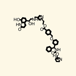 O=C(NC(c1ccccc1)c1cccc(OCc2ccc(C(=O)OCCn3cc(CNC[C@@H](O)c4ccc(O)c5[nH]c(=O)ccc45)cn3)cc2)c1)O[C@H]1CN2CCC1CC2